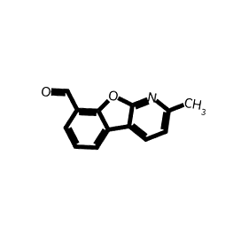 Cc1ccc2c(n1)oc1c(C=O)cccc12